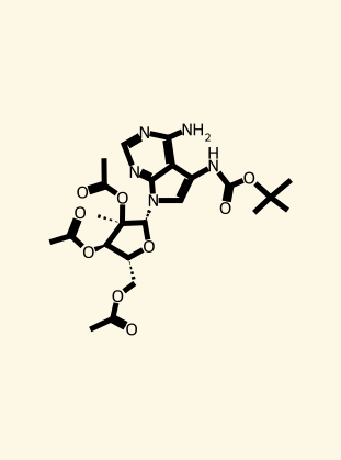 CC(=O)OC[C@H]1O[C@@H](n2cc(NC(=O)OC(C)(C)C)c3c(N)ncnc32)[C@](C)(OC(C)=O)[C@@H]1OC(C)=O